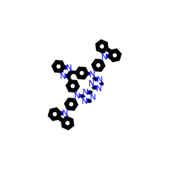 c1ccc2nc(-c3ccc(N(c4ccc(-n5c6ccccc6c6ccccc65)cc4)c4ncncn4)cc3)c(-c3ccc(N(c4ccc(-n5c6ccccc6c6ccccc65)cc4)c4ncncn4)cc3)nc2c1